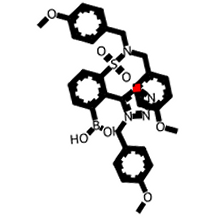 COc1ccc(CN(Cc2ccc(OC)cc2)S(=O)(=O)c2cccc(B(O)O)c2-c2nnnn2Cc2ccc(OC)cc2)cc1